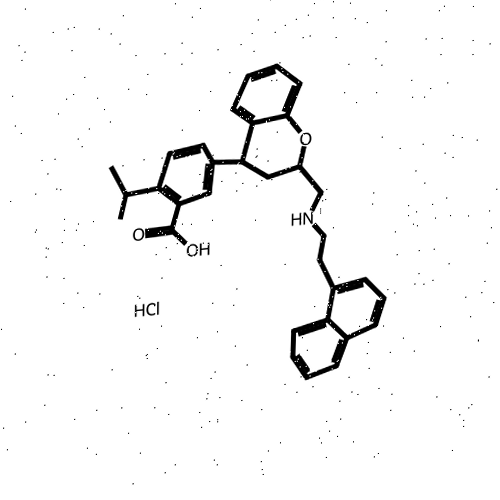 CC(C)c1ccc(C2CC(CNCCc3cccc4ccccc34)Oc3ccccc32)cc1C(=O)O.Cl